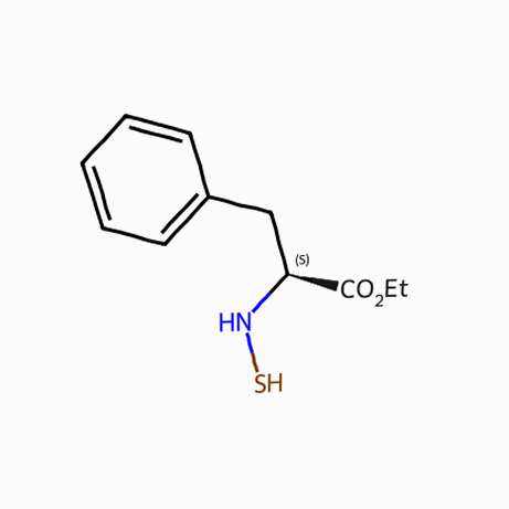 CCOC(=O)[C@H](Cc1ccccc1)NS